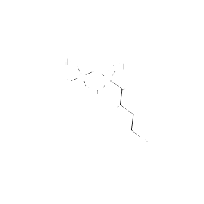 CCCC[Si](C)(C)O[Si](C)(C)CCCCBr